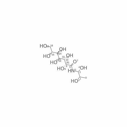 CC(O)C(O)NC(=O)[C@H](O)[C@@H](O)[C@H](O)[C@H](O)C(O)CO